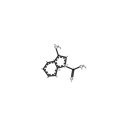 CC(=O)n1cc(C)c2ccccc21